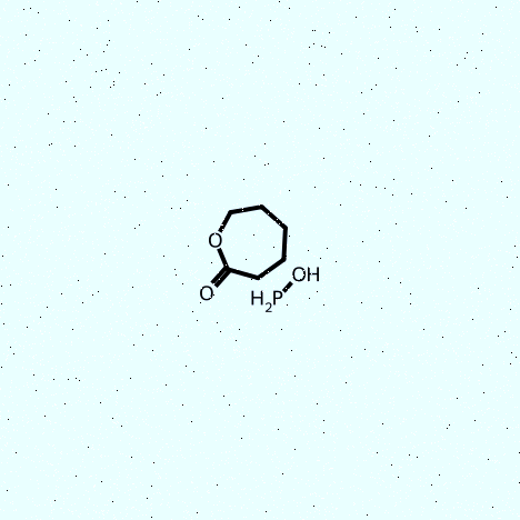 O=C1CCCCCO1.OP